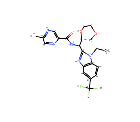 CCn1c([C@@H](NC(=O)c2cnc(C)cn2)[C@H]2COCCO2)nc2cc(C(F)(F)F)ccc21